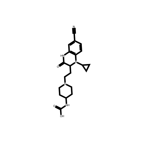 N#Cc1ccc2c(c1)NC(=O)C(CCN1CCC(NC(=O)O)CC1)N2C1CC1